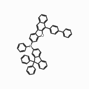 c1ccc(-c2ccc(-c3c4ccccc4cc4c3oc3cc(N(c5ccccc5)c5ccc6c(c5)C(c5ccccc5)(c5ccccc5)c5ccccc5-6)ccc34)cc2)cc1